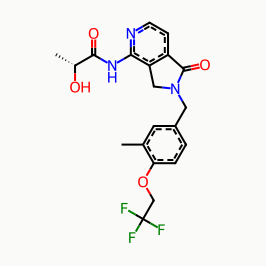 Cc1cc(CN2Cc3c(ccnc3NC(=O)[C@@H](C)O)C2=O)ccc1OCC(F)(F)F